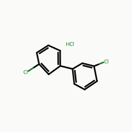 Cl.Clc1cccc(-c2cccc(Cl)c2)c1